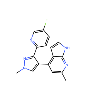 Cc1cc(-c2cn(C)nc2-c2ccc(F)cn2)c2cc[nH]c2n1